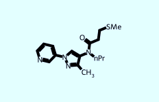 CCCN(C(=O)CCSC)c1cn(-c2cccnc2)nc1C